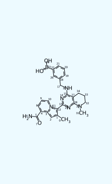 Cc1cc2c(C(N)=O)cccn2c1-c1nc(NCc2cccc(B(O)O)c2)c2c(n1)N(C)CCC2